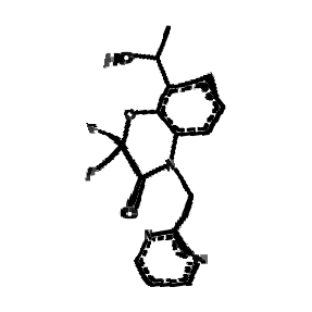 CC(O)c1cccc2c1OC(F)(F)C(=O)N2Cc1ncccn1